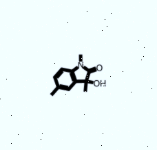 Cc1ccc2c(c1)C(C)(O)C(=O)N2C